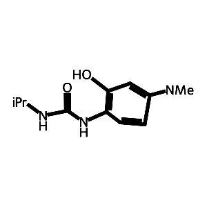 CNc1ccc(NC(=O)NC(C)C)c(O)c1